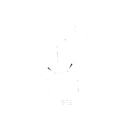 CNC(C)(C)CC1[C@H]2CCC#CCC[C@@H]12